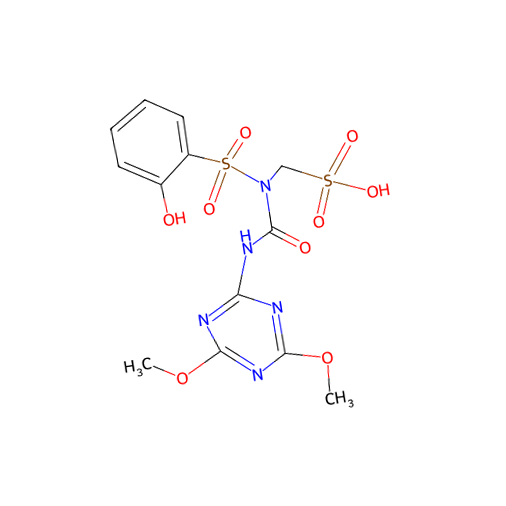 COc1nc(NC(=O)N(CS(=O)(=O)O)S(=O)(=O)c2ccccc2O)nc(OC)n1